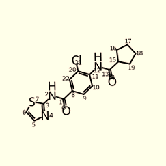 O=C(Nc1nccs1)c1ccc(NC(=O)C2CCCC2)c(Cl)c1